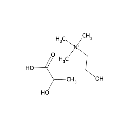 CC(O)C(=O)O.C[N+](C)(C)CCO